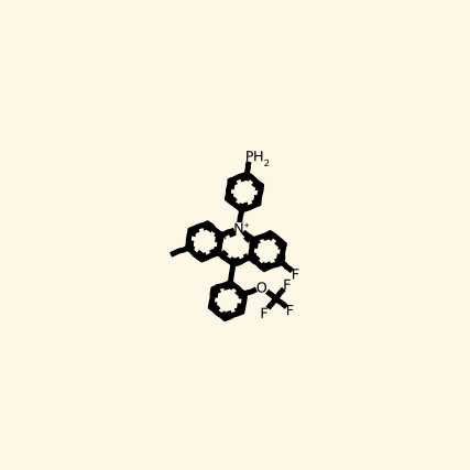 Cc1ccc2c(c1)c(-c1ccccc1OC(F)(F)F)c1cc(F)ccc1[n+]2-c1ccc(P)cc1